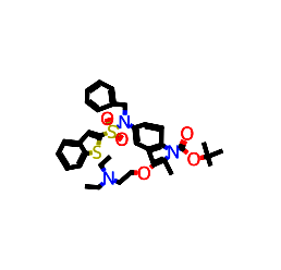 CCN(CC)CCOc1c(C)n(C(=O)OC(C)(C)C)c2ccc(N(Cc3ccccc3)S(=O)(=O)c3cc4ccccc4s3)cc12